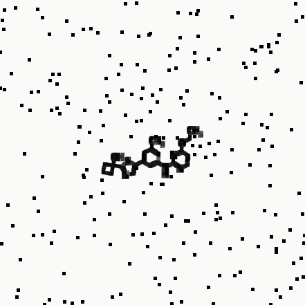 CCOc1ccnc(Nc2cc(C)cc(-c3cnc(C4(O)CCC4)s3)c2)n1